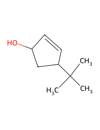 CC(C)(C)C1C=CC(O)C1